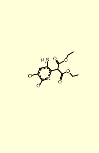 CCOC(=O)C(C(=O)OCC)c1nc(Cl)c(Cl)cc1N